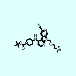 CC(C)(C)OC(=O)N1CCC(Nc2ccnc3c2c2cc(C#N)ncc2n3COCC[Si](C)(C)C)CC1